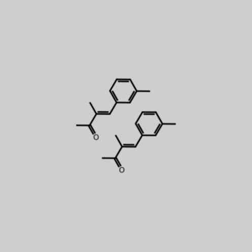 CC(=O)/C(C)=C/c1cccc(C)c1.CC(=O)/C(C)=C/c1cccc(C)c1